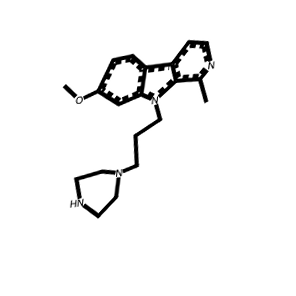 COc1ccc2c3ccnc(C)c3n(CCCN3CCNCC3)c2c1